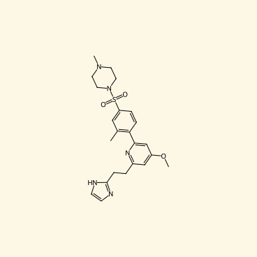 COc1cc(CCc2ncc[nH]2)nc(-c2ccc(S(=O)(=O)N3CCN(C)CC3)cc2C)c1